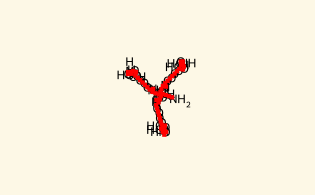 CC(=O)N[C@H]1[C@H]2OC[C@@](COCCOCCOCCOCCn3cc(COCC(COCc4cn(CCOCCOCCOCCOC[C@]56CO[C@@H](O5)[C@H](NC(C)=O)[C@@H](O)[C@H]6O)nn4)(COCc4cn(CCOCCOCCOCCOC[C@]56CO[C@@H](O5)[C@H](NC(C)=O)[C@@H](O)[C@H]6O)nn4)NC(=O)CCCCCN)nn3)(O2)[C@H](O)[C@@H]1O